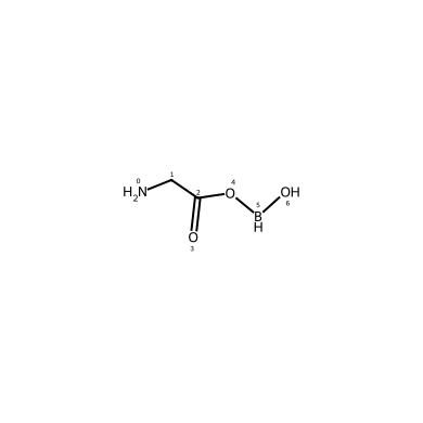 NCC(=O)OBO